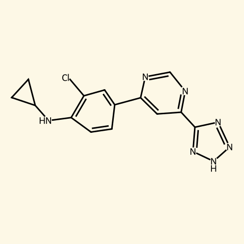 Clc1cc(-c2cc(-c3nn[nH]n3)ncn2)ccc1NC1CC1